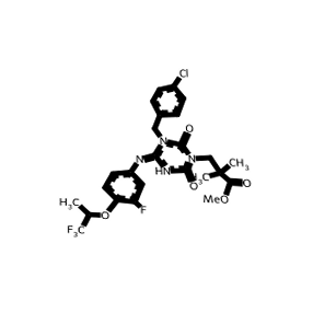 COC(=O)C(C)(C)Cn1c(=O)[nH]/c(=N\c2ccc(OC(C)C(F)(F)F)c(F)c2)n(Cc2ccc(Cl)cc2)c1=O